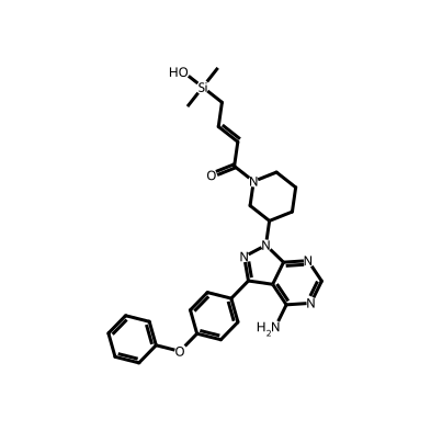 C[Si](C)(O)C/C=C/C(=O)N1CCCC(n2nc(-c3ccc(Oc4ccccc4)cc3)c3c(N)ncnc32)C1